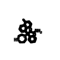 Cc1cccc2c(C(C(=O)C(N)=O)(c3ccccc3)N3CCCNCC3)cccc12